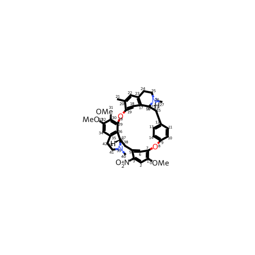 COc1cc([N+](=O)[O-])c2cc1Oc1ccc(cc1)C[C@H]1c3cc(c(C)cc3CCN1C)Oc1c(OC)c(OC)cc3c1[C@H](C2)N(C)CC3